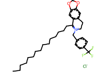 CCCCCCCCCCCCCCCC1=[N+](Cc2ccc(C(F)(F)F)cc2)CCc2cc3c(cc21)OCO3.[Cl-]